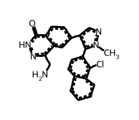 Cn1ncc(-c2ccc3c(=O)[nH]nc(CN)c3c2)c1-c1ccc2ccccc2c1Cl